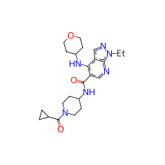 CCn1ncc2c(NC3CCOCC3)c(C(=O)NC3CCN(C(=O)C4CC4)CC3)cnc21